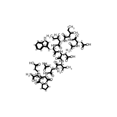 CCC(C)[C@H](NC(=O)[C@H](CC(=O)O)NC(C)=O)C(=O)N[C@H](C(=O)N[C@@H](Cc1c[nH]c2ccccc12)C(=O)N[C@@H](CC(=O)O)C(=O)N[C@H](C(=O)N[C@@H](CC(N)=O)C(=O)N[C@H](C(=O)N1CCC[C@H]1C(=O)N[C@@H](CCC(=O)O)C(N)=O)C(C)O)C(C)C)C(C)CC